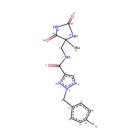 CC(C)(C)C1(CNC(=O)c2cnn(Cc3ccc(F)cc3)n2)NC(=O)NC1=O